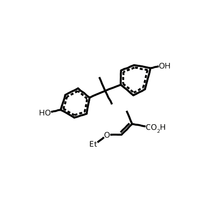 CC(C)(c1ccc(O)cc1)c1ccc(O)cc1.CCOC=C(C)C(=O)O